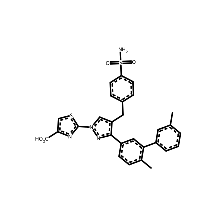 Cc1cccc(-c2cc(-c3nn(-c4nc(C(=O)O)cs4)cc3Cc3ccc(S(N)(=O)=O)cc3)ccc2C)c1